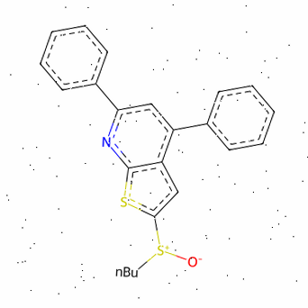 CCCC[S+]([O-])c1cc2c(-c3ccccc3)cc(-c3ccccc3)nc2s1